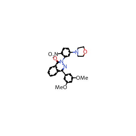 COc1cc(OC)cc(-c2nn(-c3cc(N4CCOCC4)ccc3[N+](=O)[O-])c(=O)c3ccccc23)c1